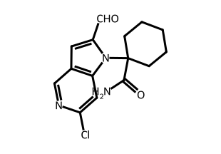 NC(=O)C1(n2c(C=O)cc3cnc(Cl)cc32)CCCCC1